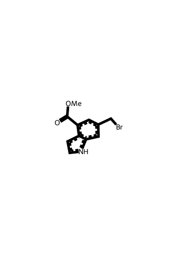 COC(=O)c1cc(CBr)cc2[nH]ccc12